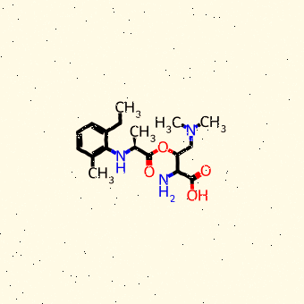 CCc1cccc(C)c1N[C@@H](C)C(=O)OC(CN(C)C)C(N)C(=O)O